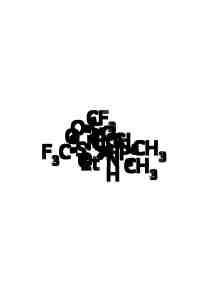 CCC(C)(N[PH](C)(C)C)N(S(=O)(=O)C(F)(F)F)S(=O)(=O)C(F)(F)F